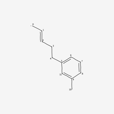 [CH2]C=CCCc1cccc(C)c1